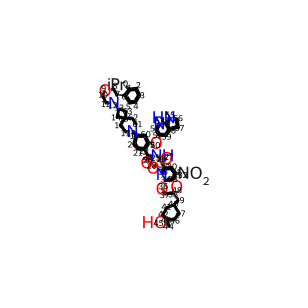 CC(C)c1ccccc1[C@@H]1COCCN1C1CC2(CCN(c3ccc(C(=O)NS(=O)(=O)c4cc([N+](=O)[O-])c5c(n4)OC[C@H](CC4CCC(C)(O)CC4)O5)c(Oc4cnc5[nH]ccc5c4)c3)CC2)C1